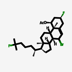 CC(=O)O[C@H]1C[C@H](F)CC2=CC(Br)[C@H]3[C@@H]4CC[C@H]([C@H](C)CCCC(C)(C)F)[C@@]4(C)CC[C@@H]3[C@]21C